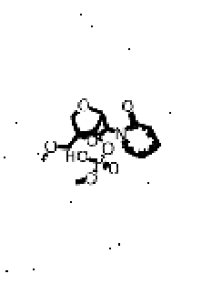 COCC12COC(C(n3ccccc3=O)O1)C2OP(=O)(O)OC